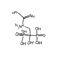 CCCC(=N)C(N)CC(O)(P(=O)(O)O)P(=O)(O)O